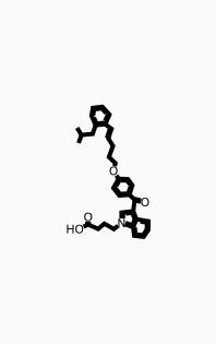 CC(C)Cc1ccccc1C=CCCCOc1ccc(C(=O)c2cn(CCCC(=O)O)c3ccccc23)cc1